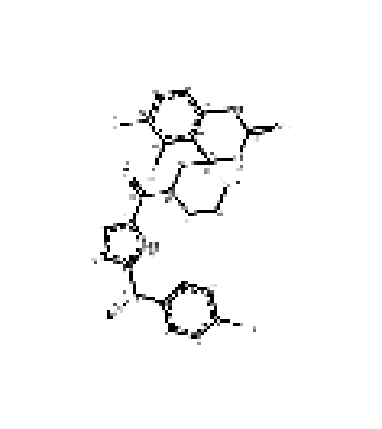 CC[C@@H](c1ccc(F)cc1)c1ncc(C(=O)N2CCC[C@@]3(C2)OC(=O)Nc2ccc(Cl)c(F)c23)[nH]1